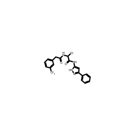 CCC(NC(=O)Cc1cccc(C(F)(F)F)c1)C(=O)Nc1cc(-c2ccccc2)n[nH]1